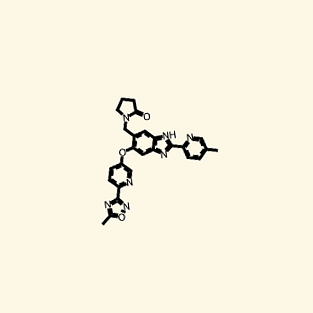 Cc1ccc(-c2nc3cc(Oc4ccc(-c5noc(C)n5)nc4)c(CN4CCCC4=O)cc3[nH]2)nc1